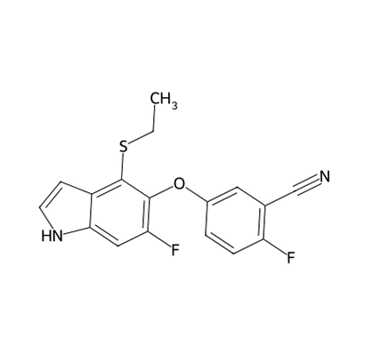 CCSc1c(Oc2ccc(F)c(C#N)c2)c(F)cc2[nH]ccc12